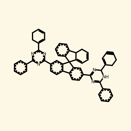 C1#CCCC(C2N=C(c3ccc4c(c3)C3(C5=CC=CCC5c5ccccc53)c3cc(-c5nc(C6=CC=CCC6)nc(-c6ccccc6)n5)ccc3-4)N=C(c3ccccc3)N2)=C1